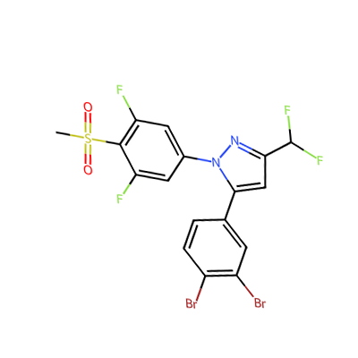 CS(=O)(=O)c1c(F)cc(-n2nc(C(F)F)cc2-c2ccc(Br)c(Br)c2)cc1F